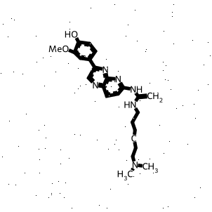 C=C(NCCCCCCN(C)C)Nc1ccc2ncc(-c3ccc(O)c(OC)c3)nc2n1